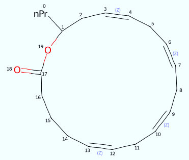 CCCC1C/C=C\C/C=C\C/C=C\C/C=C\CCCC(=O)O1